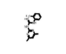 Cc1cc(C)nc(NC(=N)Nc2ccccc2C(F)(F)F)n1